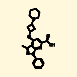 Cc1nn(-c2ccccc2)c2nc(C(=O)O)cc(OC3CC(N4CCCCC4)C3)c12